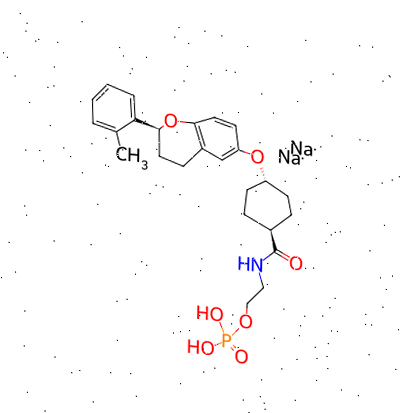 Cc1ccccc1[C@@H]1CCc2cc(O[C@H]3CC[C@H](C(=O)NCCOP(=O)(O)O)CC3)ccc2O1.[Na].[Na]